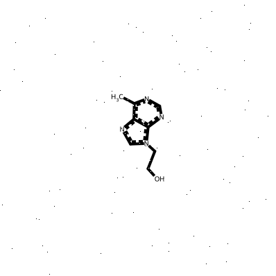 Cc1ncnc2c1ncn2CCO